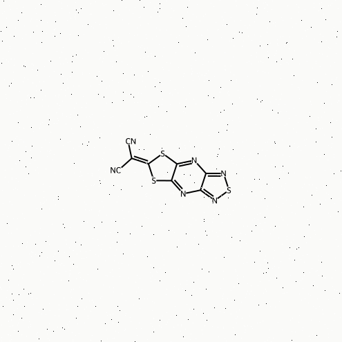 N#CC(C#N)=C1Sc2nc3nsnc3nc2S1